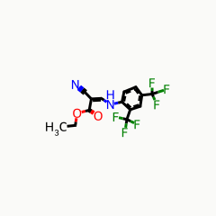 CCOC(=O)/C(C#N)=C\Nc1ccc(C(F)(F)F)cc1C(F)(F)F